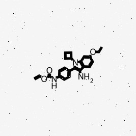 C=COC(=O)Nc1ccc(-c2c(N)c3ccc(OCC)cc3n2C2CCC2)cc1